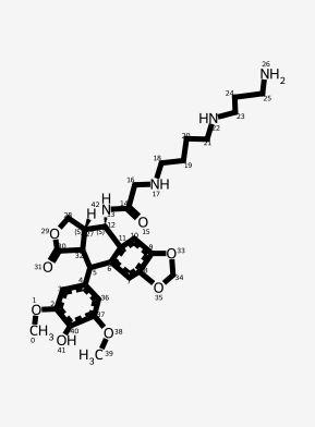 COc1cc(C2c3cc4c(cc3[C@@H](NC(=O)CNCCCCNCCCN)[C@H]3COC(=O)C23)OCO4)cc(OC)c1O